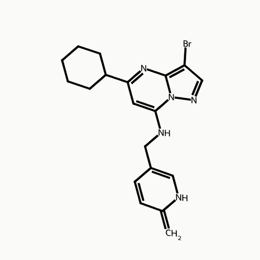 C=C1C=CC(CNc2cc(C3CCCCC3)nc3c(Br)cnn23)=CN1